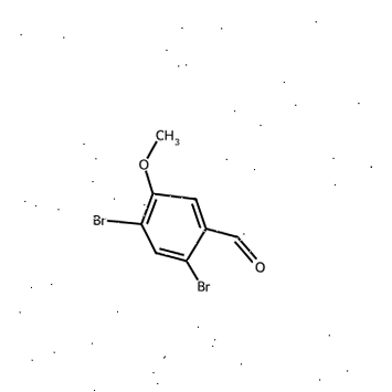 COc1cc(C=O)c(Br)cc1Br